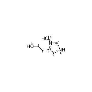 Cl.OCCc1c[nH]cn1